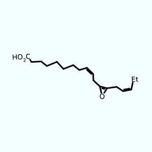 CC/C=C\CC1=C(C/C=C\CCCCCCCC(=O)O)O1